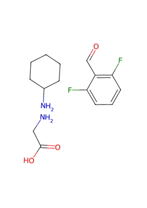 NC1CCCCC1.NCC(=O)O.O=Cc1c(F)cccc1F